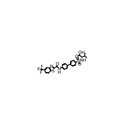 CC(C)[C@H](NS(=O)(=O)c1ccc(-c2ccc(NC(=O)c3nc4cc(C(F)(F)F)ccc4s3)cc2)cc1)C(=O)O